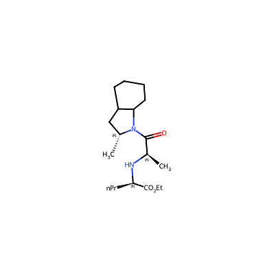 CCC[C@@H](N[C@H](C)C(=O)N1C2CCCCC2C[C@H]1C)C(=O)OCC